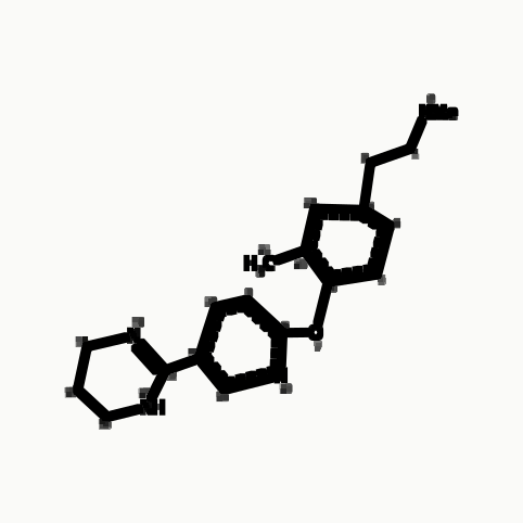 CNCCc1ccc(Oc2ccc(C3=NCCCN3)cn2)c(C)c1